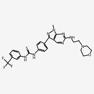 Cn1nc(-c2ccc(NC(=S)Nc3cccc(C(F)(F)F)c3)cc2)c2cnc(NCCN3CCOCC3)nc21